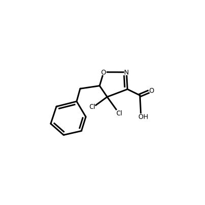 O=C(O)C1=NOC(Cc2ccccc2)C1(Cl)Cl